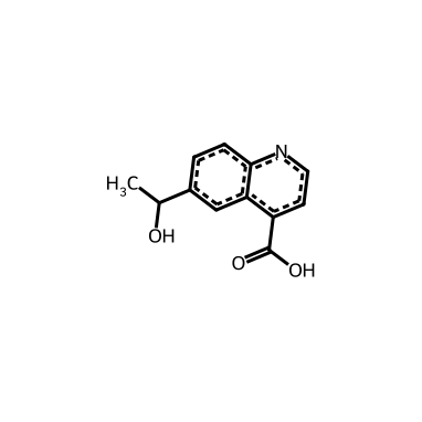 CC(O)c1ccc2nccc(C(=O)O)c2c1